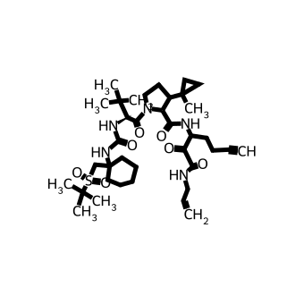 C#CCCC(NC(=O)C1C(C2(C)CC2)CCN1C(=O)[C@@H](NC(=O)NC1(CS(=O)(=O)C(C)(C)C)CCCCC1)C(C)(C)C)C(=O)C(=O)NCC=C